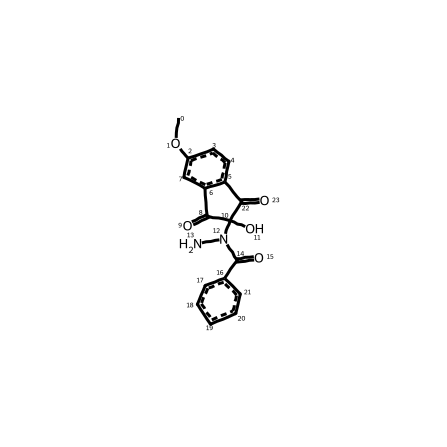 COc1ccc2c(c1)C(=O)C(O)(N(N)C(=O)c1ccccc1)C2=O